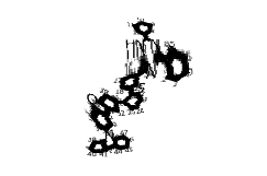 c1ccc(C2=NC(c3ccccc3)NC(c3cccc4c3sc3cccc(-c5ccc6oc7ccc(-n8c9ccccc9c9ccccc98)cc7c6c5)c34)=N2)cc1